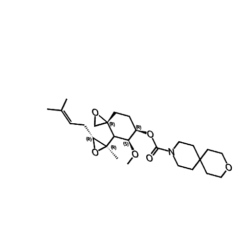 CO[C@H]1C([C@@]2(C)O[C@@H]2CC=C(C)C)[C@]2(CC[C@H]1OC(=O)N1CCC3(CCOCC3)CC1)CO2